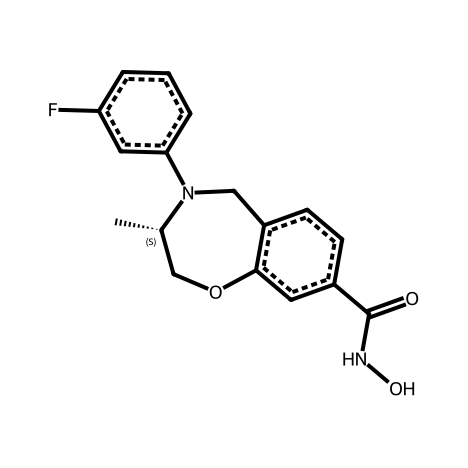 C[C@H]1COc2cc(C(=O)NO)ccc2CN1c1cccc(F)c1